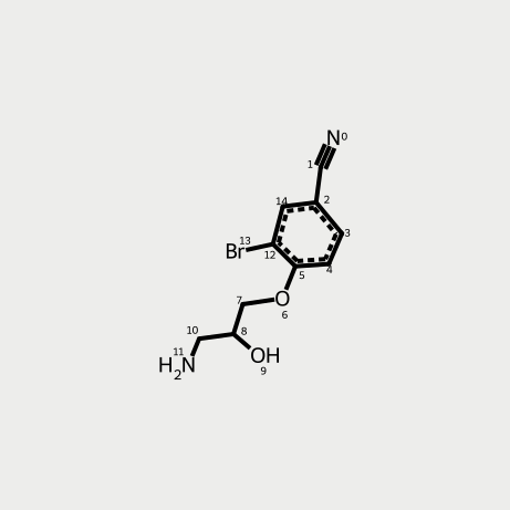 N#Cc1ccc(OCC(O)CN)c(Br)c1